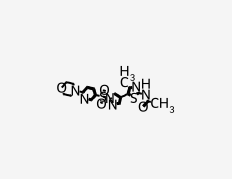 CC(=O)Nc1nc(C)c(-c2cnn(S(=O)(=O)c3ccc(N4CCOCC4)nc3)c2)s1